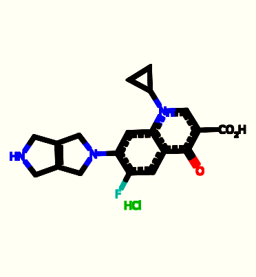 Cl.O=C(O)c1cn(C2CC2)c2cc(N3CC4=C(CNC4)C3)c(F)cc2c1=O